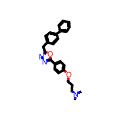 CN(C)CCCOc1ccc(-c2nnc(Cc3ccc(-c4ccccc4)cc3)o2)cc1